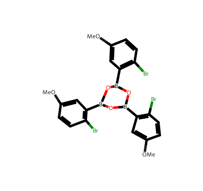 COc1ccc(Br)c(B2OB(c3cc(OC)ccc3Br)OB(c3cc(OC)ccc3Br)O2)c1